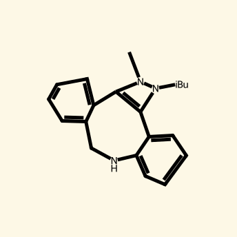 CCC(C)n1c2c(n1C)-c1ccccc1CNc1ccccc1-2